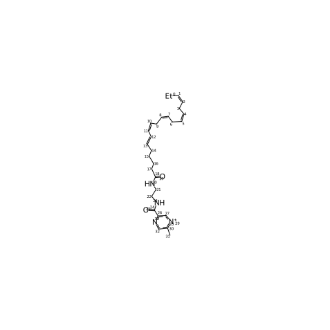 CC/C=C\C/C=C\C/C=C\C/C=C\C=C\CCCCC(=O)NCCNC(=O)c1c[n+](C)c(C)cn1